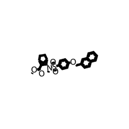 COC(=O)C1C2CCC(C2)C1N(C)S(=O)(=O)c1ccc(OCc2ccc3ccccc3c2)cc1